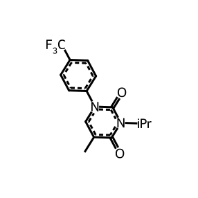 Cc1cn(-c2ccc(C(F)(F)F)cc2)c(=O)n(C(C)C)c1=O